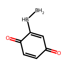 BBC1=CC(=O)C=CC1=O